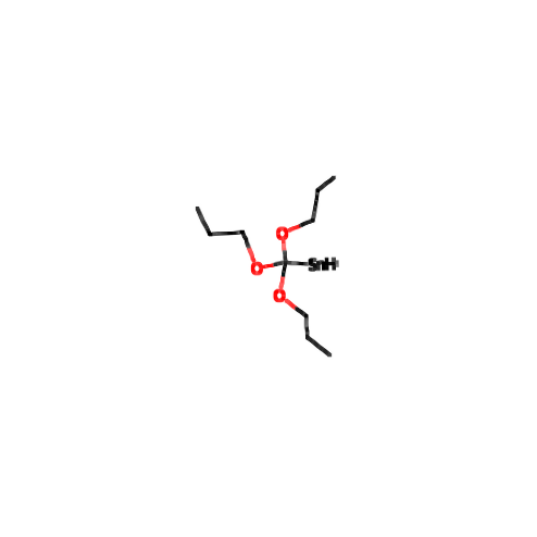 CCCO[C]([SnH])(OCCC)OCCC